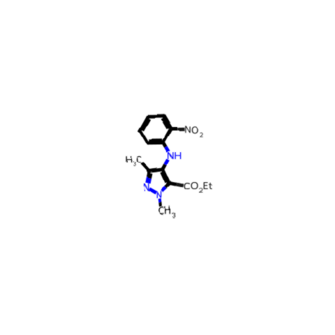 CCOC(=O)c1c(Nc2ccccc2[N+](=O)[O-])c(C)nn1C